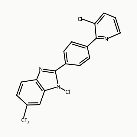 FC(F)(F)c1ccc2nc(-c3ccc(-c4ncccc4Cl)cc3)n(Cl)c2c1